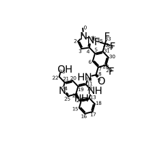 Cn1ccc(-c2cc(C(=O)N/C(Nc3ccccc3)=C3\C=C(CO)N=CC3=N)c(F)cc2C(F)(F)F)n1